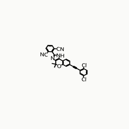 CC1(C)Oc2cc(C#Cc3cc(Cl)ccc3Cl)ccc2-c2[nH]c(-c3c(C#N)cccc3C#N)nc21